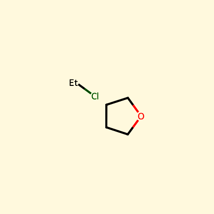 C1CCOC1.CCCl